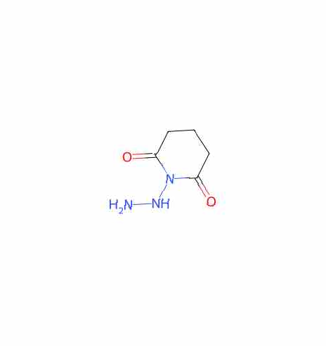 NNN1C(=O)CCCC1=O